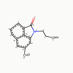 COCCN1C(=O)c2cccc3cc(C=O)cc1c23